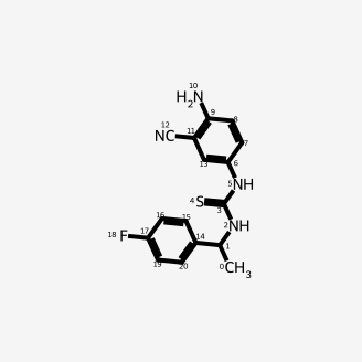 CC(NC(=S)Nc1ccc(N)c(C#N)c1)c1ccc(F)cc1